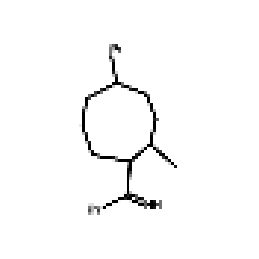 CC(C)C(=N)C1CCCC(C(C)C)CCC1C